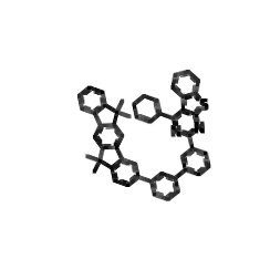 CC1(C)c2ccccc2-c2cc3c(cc21)-c1cc(-c2cccc(-c4cccc(-c5nc(C6=CCCC=C6)c6c(n5)sc5ccccc56)c4)c2)ccc1C3(C)C